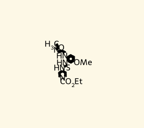 CCOC(=O)N1CCC(NC(=S)Nc2cc(OC)ccc2NCc2cnc(C)o2)CC1